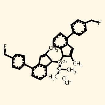 CC1=Cc2c(-c3ccc(CF)cc3)cccc2[CH]1[Zr+2]([CH]1C(C)=Cc2c(-c3ccc(CF)cc3)cccc21)=[Si](C)C.[Cl-].[Cl-]